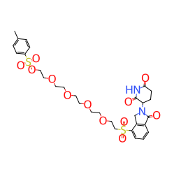 Cc1ccc(S(=O)(=O)OCCOCCOCCOCCOCCS(=O)(=O)c2cccc3c2CN(C2CCC(=O)NC2=O)C3=O)cc1